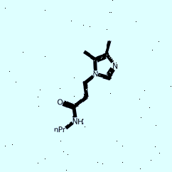 CCCNC(=O)CCn1[c]nc(C)c1C